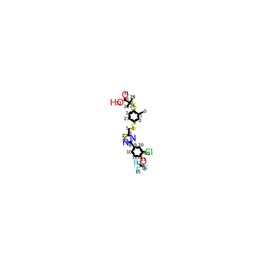 Cc1cc(SCc2nc(-c3ccc(OC(F)(F)F)c(Cl)c3)ns2)ccc1SC(C)(C)C(=O)O